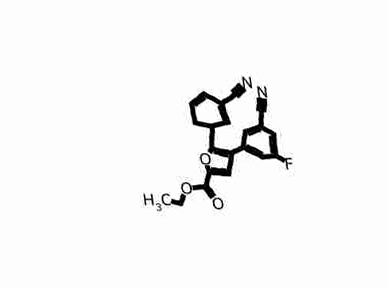 CCOC(=O)c1cc(-c2cc(F)cc(C#N)c2)c(C2C=C(C#N)C=CC2)o1